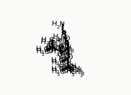 CC(C)(C)OC(=O)/N=C(\NCCCC[C@H](NC(=O)OC(C)(C)C)C(=O)NCCCN(CCCNC(=O)[C@H](CCCCN/C(=N\C(=O)OC(C)(C)C)NC(=O)OC(C)(C)C)NC(=O)OC(C)(C)C)CCCc1ccc(NC(=O)[C@@H](N)Cc2ccc(CCCCN)cc2)cc1)NC(=O)OC(C)(C)C